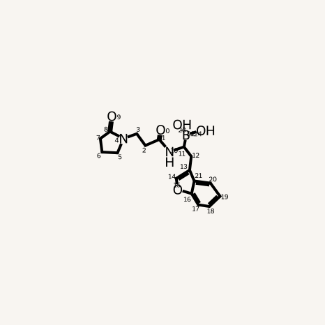 O=C(CCN1CCCC1=O)NC(Cc1coc2ccccc12)B(O)O